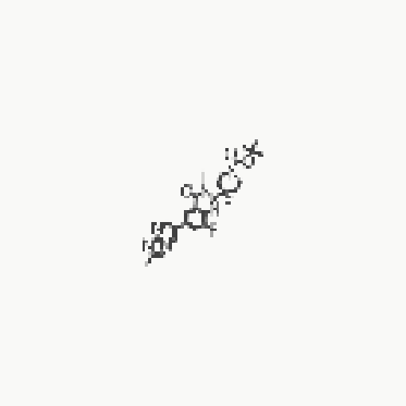 Cc1cn2cc(-c3cc(F)c4nc(C5(F)CCN(C(=O)OC(C)(C)C)CC5)[nH]c(=O)c4c3)cnc2n1